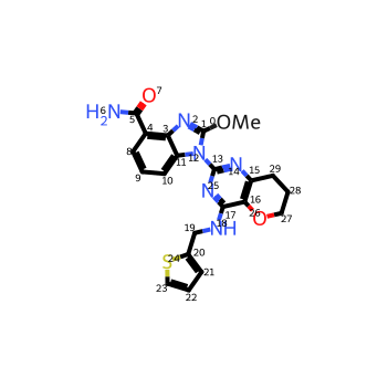 COc1nc2c(C(N)=O)cccc2n1-c1nc2c(c(NCc3cccs3)n1)OCCC2